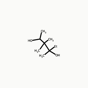 CCC(C)(O)C(C)(C)C(C)O